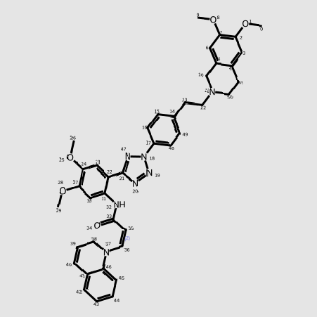 COc1cc2c(cc1OC)CN(CCc1ccc(-n3nnc(-c4cc(OC)c(OC)cc4NC(=O)/C=C\N4CC=Cc5ccccc54)n3)cc1)CC2